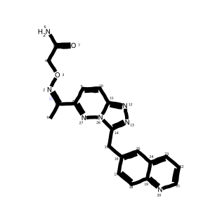 C/C(=N/OCC(N)=O)c1ccc2nnc(Cc3ccc4ncccc4c3)n2n1